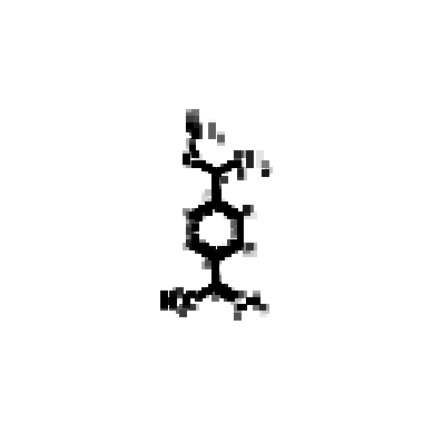 C=C(C)c1ccc(C(C)O[SiH3])cc1